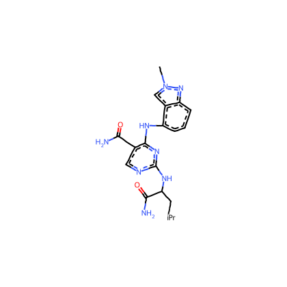 CC(C)CC(Nc1ncc(C(N)=O)c(Nc2cccc3nn(C)cc23)n1)C(N)=O